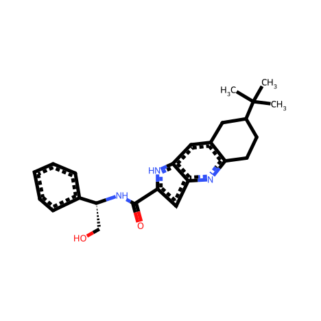 CC(C)(C)C1CCc2nc3cc(C(=O)N[C@H](CO)c4ccccc4)[nH]c3cc2C1